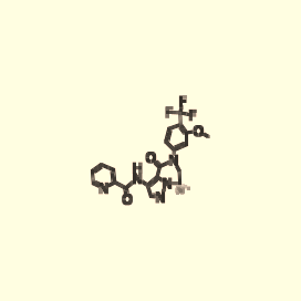 COc1cc(N2C[C@H](C)n3ncc(NC(=O)c4ccccn4)c3C2=O)ccc1C(F)(F)F